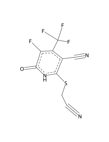 N#CCSc1[nH]c(=O)c(F)c(C(F)(F)F)c1C#N